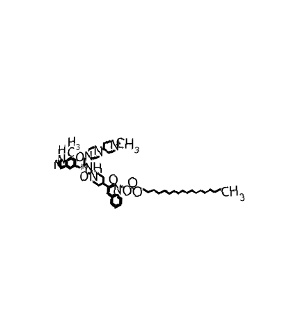 CCCCCCCCCCCCCCCCCCOC(=O)OCn1c(=O)c(C2CCN(C(=O)N[C@H](Cc3cc(C)c4[nH]ncc4c3)C(=O)N3CCN(C4CCN(C)CC4)CC3)CC2)cc2ccccc21